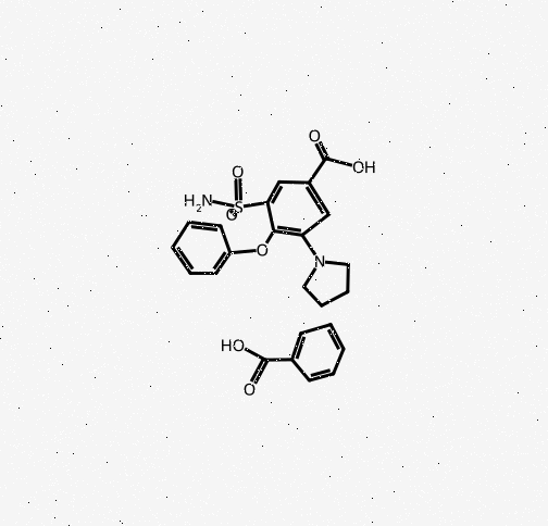 NS(=O)(=O)c1cc(C(=O)O)cc(N2CCCC2)c1Oc1ccccc1.O=C(O)c1ccccc1